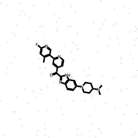 Cc1cc(F)ncc1-c1cc(C(=O)c2nc3ccc(N4CCC(N(C)C)CC4)cc3[nH]2)ccn1